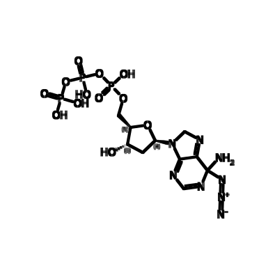 [N-]=[N+]=NC1(N)N=CN=C2C1=NCN2[C@H]1C[C@H](O)[C@@H](COP(=O)(O)OP(=O)(O)OP(=O)(O)O)O1